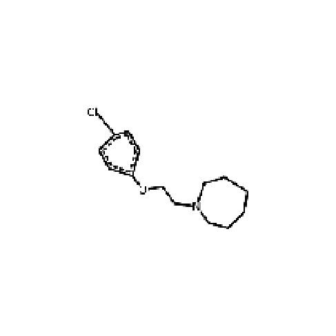 Clc1ccc(OCCN2CCCCCC2)cc1